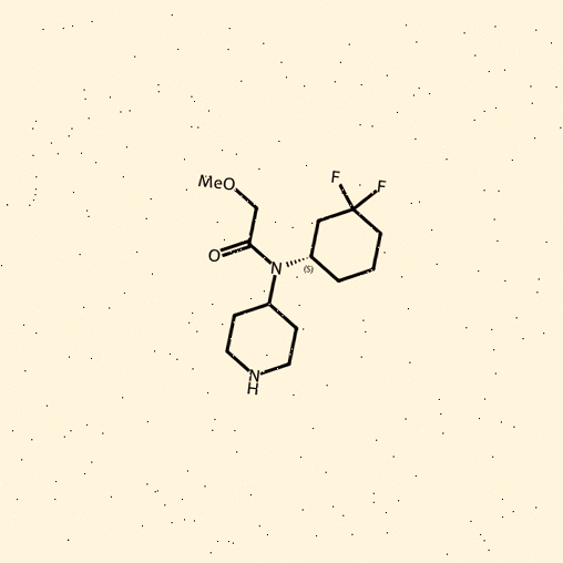 COCC(=O)N(C1CCNCC1)[C@H]1CCCC(F)(F)C1